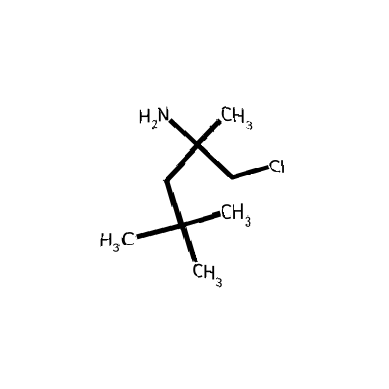 CC(C)(C)CC(C)(N)CCl